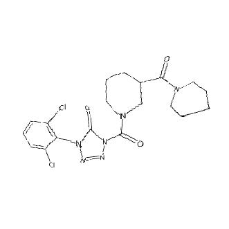 O=C(C1CCCN(C(=O)n2nnn(-c3c(Cl)cccc3Cl)c2=O)C1)N1CCCCC1